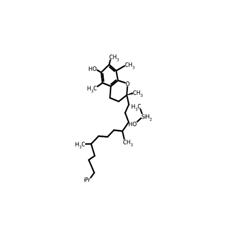 C[SiH2]O.Cc1c(C)c2c(c(C)c1O)CC[C@@](C)(CCCC(C)CCCC(C)CCCC(C)C)O2